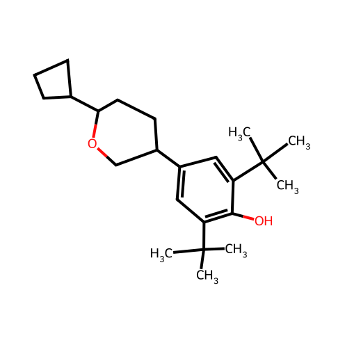 CC(C)(C)c1cc(C2CCC(C3CCC3)OC2)cc(C(C)(C)C)c1O